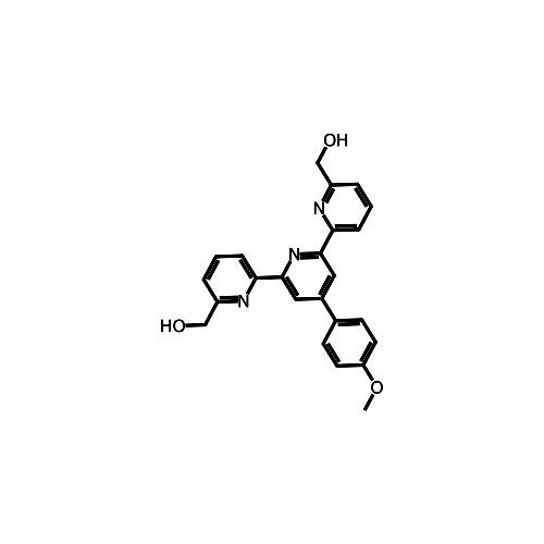 COc1ccc(-c2cc(-c3cccc(CO)n3)nc(-c3cccc(CO)n3)c2)cc1